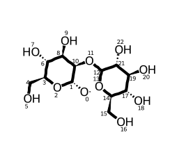 [O][C@@H]1O[C@@H](CO)[C@H](O)[C@@H](O)[C@H]1OC1O[C@H](CO)[C@@H](O)[C@H](O)[C@H]1O